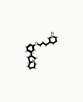 c1cc(OCCCC2CCCNC2)cc(C2CC3CCCCN3C2)c1